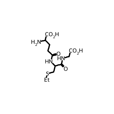 [CH2]CSCC(NC(=O)CCC(N)C(=O)O)C(=O)NCC(=O)O